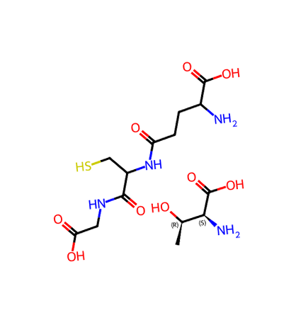 C[C@@H](O)[C@H](N)C(=O)O.NC(CCC(=O)NC(CS)C(=O)NCC(=O)O)C(=O)O